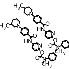 CC1CCCN(c2ccc(C(=O)Nc3ccc(OC(=O)N(C)c4ccccc4)nc3)cc2)C1.CC1CCN(c2ccc(C(=O)Nc3ccc(OC(=O)N(C)c4ccccc4)nc3)cc2)CC1